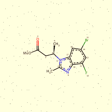 COC(=O)C[C@@H](C)n1c(C)nc2c(F)cc(Br)cc21